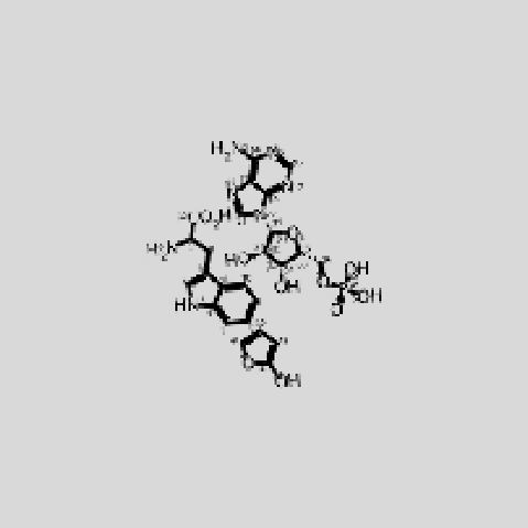 NC(Cc1c[nH]c2ccccc12)C(=O)O.Nc1ncnc2c1ncn2[C@@H]1O[C@H](COP(=O)(O)O)[C@@H](O)[C@H]1O.Oc1ccco1